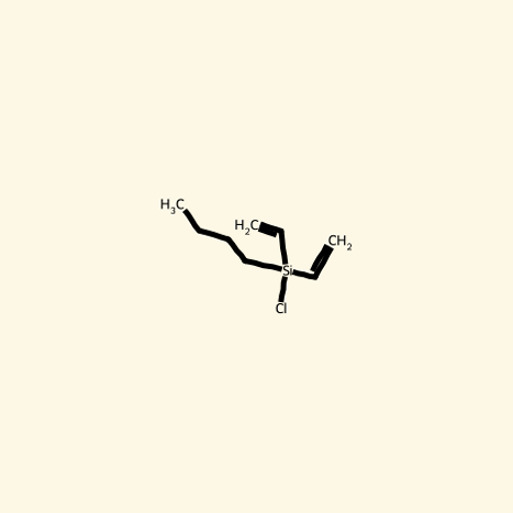 C=C[Si](Cl)(C=C)CCCC